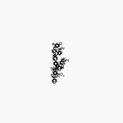 CC(C)Oc1ccccc1[C@@H]1CN(Cc2ccc(Cl)cc2F)CCN1C1CC2(CCN(c3ccc(C(=O)NS(=O)(=O)c4cc5c(c([N+](=O)[O-])c4)N[C@H](C4CCOCC4)CO5)c(N4c5cc6cc[nH]c6nc5O[C@H]5COCC[C@@H]54)c3)CC2)C1